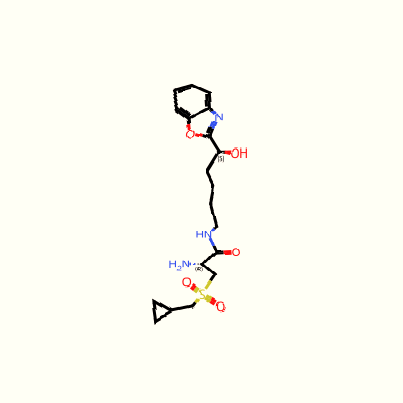 N[C@@H](CS(=O)(=O)CC1CC1)C(=O)NCCCC[C@H](O)c1nc2ccccc2o1